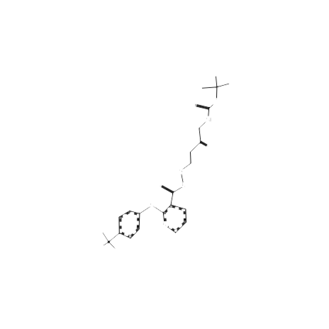 CC(C)(C)OC(=O)NCC(=O)CCNNC(=O)c1cccnc1Nc1ccc(C(F)(F)F)cc1